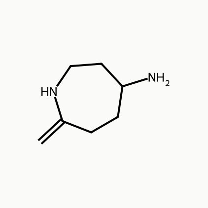 C=C1CCC(N)CCN1